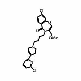 COCC1=COc2cc(Cl)ccc2C(=O)N1CCCCN1CC=C(c2cccc(Cl)n2)CC1